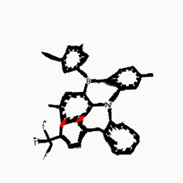 Cc1cccc(B2c3cc(C)ccc3N(c3ccccc3C3=CC=C(C(F)(F)F)CC3)c3cc(C)ccc32)c1